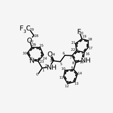 CC(NC(=O)CCc1c(-c2ccccc2)[nH]c2ccc(F)cc12)c1ccc(OCC(F)(F)F)cn1